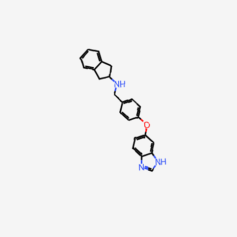 c1ccc2c(c1)CC(NCc1ccc(Oc3ccc4nc[nH]c4c3)cc1)C2